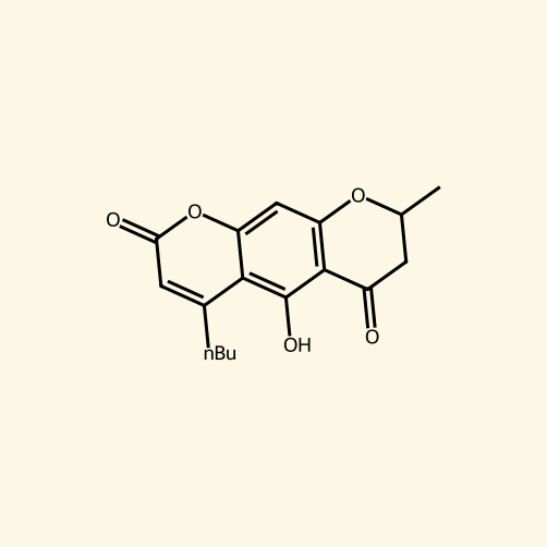 CCCCc1cc(=O)oc2cc3c(c(O)c12)C(=O)CC(C)O3